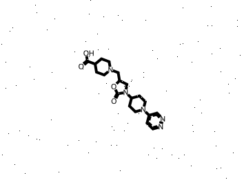 O=C(O)C1CCN(CC2CN(C3CCN(c4ccnnc4)CC3)C(=O)O2)CC1